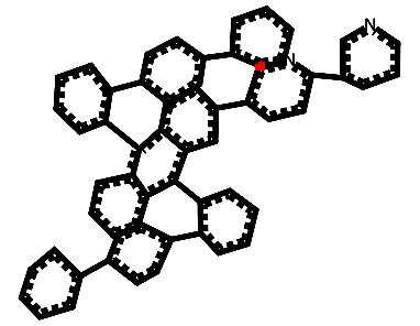 c1ccc(-c2ccc(-c3ccccc3-c3c4ccccc4c(-c4ccccc4-c4ccc(-c5ccccc5)cc4)c4cc(-c5ccc(-c6cccnc6)nc5)ccc34)cc2)cc1